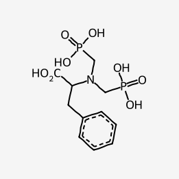 O=C(O)C(Cc1ccccc1)N(CP(=O)(O)O)CP(=O)(O)O